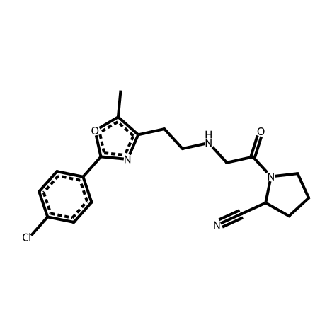 Cc1oc(-c2ccc(Cl)cc2)nc1CCNCC(=O)N1CCCC1C#N